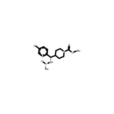 CC(C)(C)OC(=O)N1CCC([C@H](N[S@@+]([O-])C(C)(C)C)c2ccc(Cl)cn2)CC1